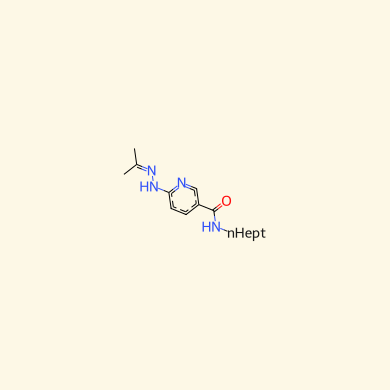 CCCCCCCNC(=O)c1ccc(NN=C(C)C)nc1